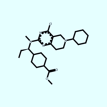 CC[C@H](C1CCC(C(=O)OC)CC1)N(C)c1nc(Cl)c2c(n1)CCN(C1CCCCC1)C2